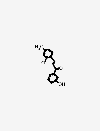 Cc1ccc(/C=C/C(=O)c2cccc(O)c2)c(Cl)c1